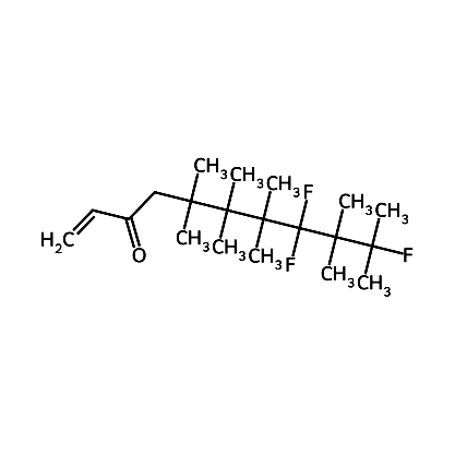 C=CC(=O)CC(C)(C)C(C)(C)C(C)(C)C(F)(F)C(C)(C)C(C)(C)F